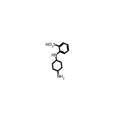 NC1CCC(Nc2cc[c]cc2S(=O)(=O)O)CC1